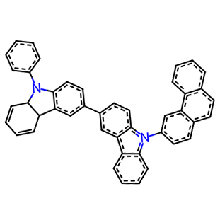 C1=CC2c3cc(-c4ccc5c(c4)c4ccccc4n5-c4ccc5ccc6ccccc6c5c4)ccc3N(c3ccccc3)C2C=C1